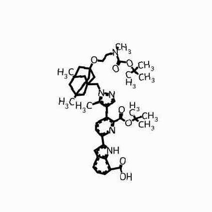 Cc1c(-c2ccc(-c3cc4cccc(C(=O)O)c4[nH]3)nc2C(=O)OC(C)(C)C)cnn1CC12CC3(C)CC(C)(C1)CC(OCCN(C)C(=O)OC(C)(C)C)(C3)C2